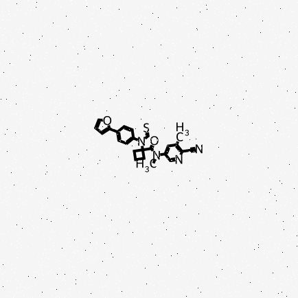 Cc1cc(N(C)C(=O)C2(N(C=S)c3ccc(-c4ccco4)cc3)CCC2)cnc1C#N